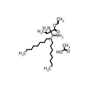 C=COC(=O)C(N)(C=C)N(N)N(CCCCCCCC)CCCCCCCC.CC(=O)O